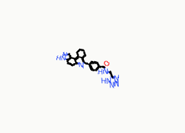 O=C(NCc1nnn[nH]1)c1ccc(-c2nc3ccc4[nH]ncc4c3c3c2CCCC3)cc1